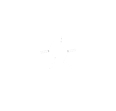 C=CC(=O)OC.CC=CC([O])=O